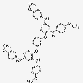 COc1ccc(Nc2ccc(Oc3cccc(Oc4ccc(Nc5ccc(OC)cc5)cc4Nc4ccc(OC)cc4)c3)c(Nc3ccc(OC)cc3)c2)cc1